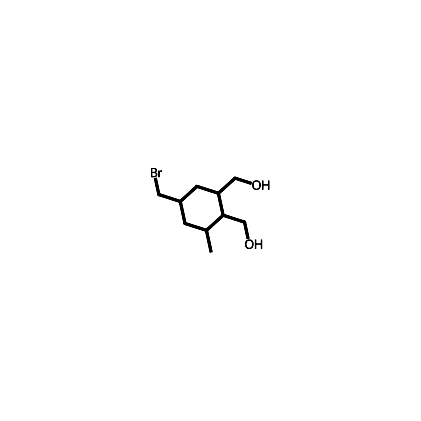 CC1CC(CBr)CC(CO)C1CO